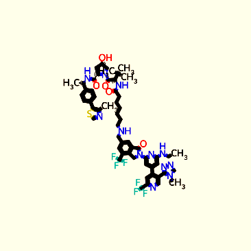 CCNc1cc(-c2cc(C(F)(F)F)ncc2-c2nncn2C)cc(N2Cc3c(cc(CNCCCCCCC(=O)N[C@H](C(=O)N4C[C@H](O)C[C@H]4C(=O)N[C@@H](C)c4ccc(-c5scnc5C)cc4)C(C)(C)C)cc3C(F)(F)F)C2=O)n1